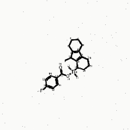 CC1C2=C(CCCC2)C2=C1[CH]([Ti]([CH3])([CH3])[O]C(=O)c1ccc(F)cc1)CCC2